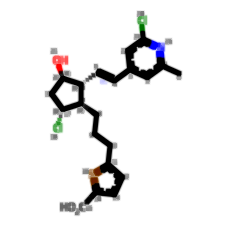 Cc1cc(/C=C/[C@@H]2[C@@H](CCCc3ccc(C(=O)O)s3)[C@H](Cl)C[C@H]2O)cc(Cl)n1